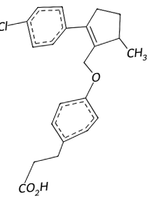 CC1CCC(c2ccc(Cl)cc2)=C1COc1ccc(CCC(=O)O)cc1